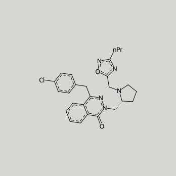 CCCc1noc(CN2CCC[C@@H]2Cn2nc(Cc3ccc(Cl)cc3)c3ccccc3c2=O)n1